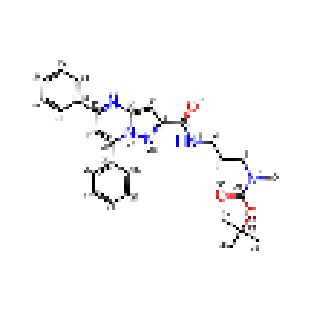 CN(CCCNC(=O)c1cc2nc(-c3ccccc3)cc(-c3ccccc3)n2n1)C(=O)OC(C)(C)C